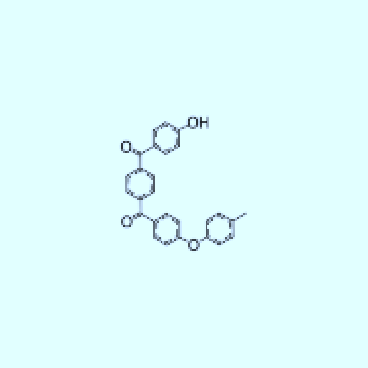 Cc1ccc(Oc2ccc(C(=O)c3ccc(C(=O)c4ccc(O)cc4)cc3)cc2)cc1